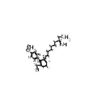 CCC(=N)CCCCCCOc1cccc(C=O)c1-c1ccc(OC)cc1